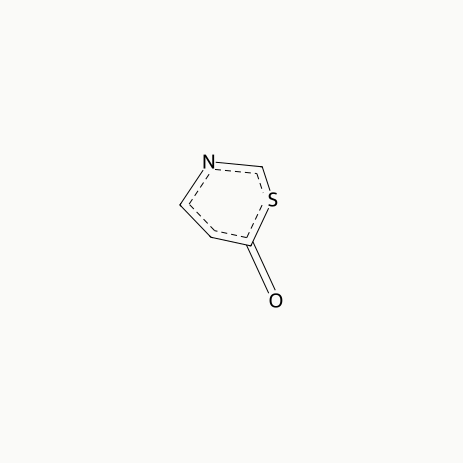 O=c1ccncs1